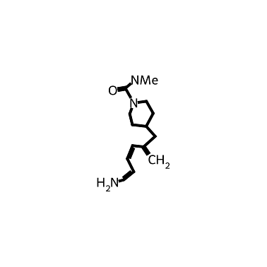 C=C(/C=C\C=C/N)CC1CCN(C(=O)NC)CC1